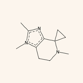 Cc1nc2c(n1C)CCN(C)C21CC1